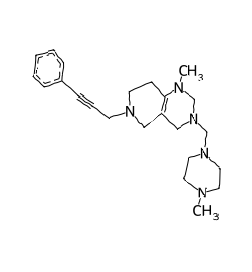 CN1CCN(CN2CC3=C(CCN(CC#Cc4ccccc4)C3)N(C)C2)CC1